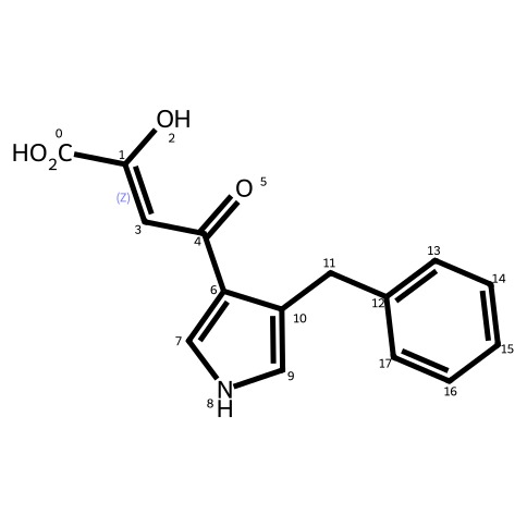 O=C(O)/C(O)=C/C(=O)c1c[nH]cc1Cc1ccccc1